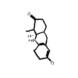 CC1C(=O)CCC2CC3=C(CCC(Cl)=C3)N[C@H]21